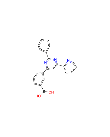 OB(O)c1cccc(-c2cc(-c3ccccn3)nc(-c3ccccc3)n2)c1